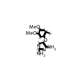 COc1cc(I)c(Oc2cnc(N)nc2N)cc1OC